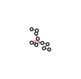 c1ccc(-c2ccccc2-c2ccccc2-c2ccc(N(c3ccc(-c4ccc5c(-c6ccccc6)cccc5c4)cc3)c3cccc4c3oc3ccccc34)cc2)cc1